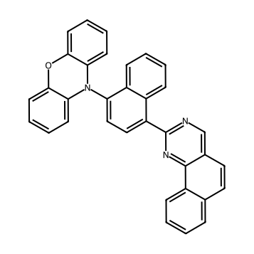 c1ccc2c(c1)Oc1ccccc1N2c1ccc(-c2ncc3ccc4ccccc4c3n2)c2ccccc12